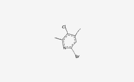 Cc1cc(Br)nc(C)c1Cl